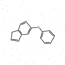 [C]1=Cc2cc(Sc3ccccc3)ccc2C1